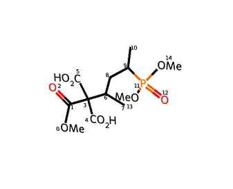 COC(=O)C(C(=O)O)(C(=O)O)C(C)CC(C)P(=O)(OC)OC